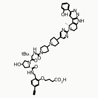 C#Cc1ccc(CNC(=O)[C@@H]2C[C@@H](O)CN2C(=O)[C@@H](NC(=O)N2CCC(N3CCC(c4cnc(N5CCc6[nH]c7nnc(-c8ccccc8O)cc7c6[C@H]5C)nc4)CC3)CC2)C(C)(C)C)c(OCCCC(=O)O)c1